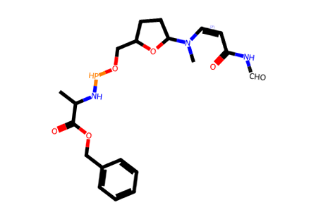 CC(NPOCC1CCC(N(C)/C=C\C(=O)NC=O)O1)C(=O)OCc1ccccc1